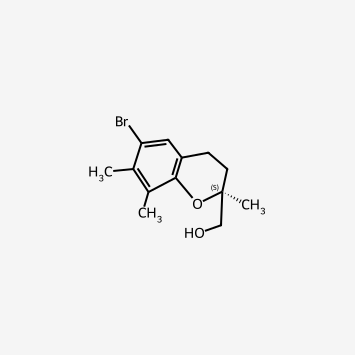 Cc1c(Br)cc2c(c1C)O[C@](C)(CO)CC2